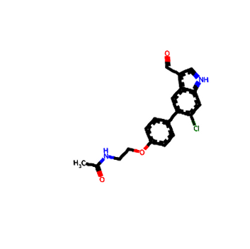 CC(=O)NCCOc1ccc(-c2cc3c(C=O)c[nH]c3cc2Cl)cc1